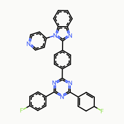 Fc1ccc(-c2nc(C3=CCC(F)C=C3)nc(-c3ccc(-c4nc5ccccc5n4-c4ccncc4)cc3)n2)cc1